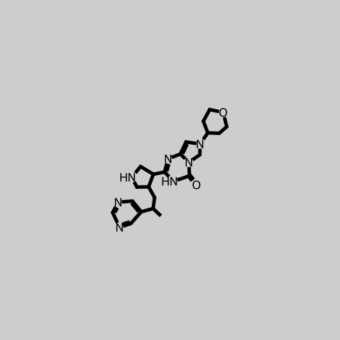 CC(CC1CNCC1C1=NC2=CN(C3CCOCC3)CN2C(=O)N1)c1cncnc1